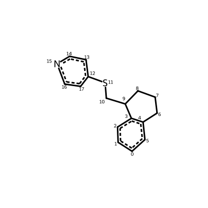 c1ccc2c(c1)CCCC2CSc1ccncc1